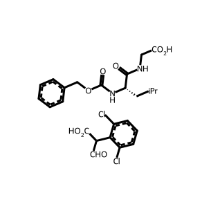 CC(C)C[C@H](NC(=O)OCc1ccccc1)C(=O)NCC(=O)O.O=CC(C(=O)O)c1c(Cl)cccc1Cl